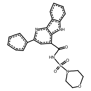 O=C(NS(=O)(=O)N1CCOCC1)c1cc(-c2ccccc2)nc2c1[nH]c1ccccc12